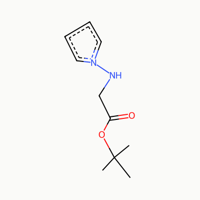 CC(C)(C)OC(=O)CNn1cccc1